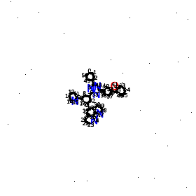 c1ccc(-c2nc(-c3cc(-c4ccccn4)cc(-c4cc5cccnc5c5ncccc45)c3)nc(-c3ccc4c(c3)oc3ccccc34)n2)cc1